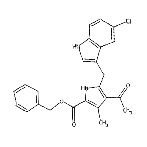 CC(=O)c1c(Cc2c[nH]c3ccc(Cl)cc23)[nH]c(C(=O)OCc2ccccc2)c1C